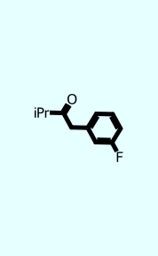 CC(C)C(=O)Cc1cccc(F)c1